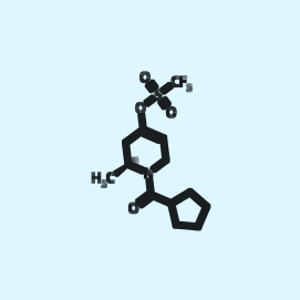 C[C@H]1CC(OS(=O)(=O)C(F)(F)F)=CCN1C(=O)C1CCCC1